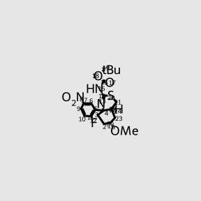 CO[C@@H]1CCC2(c3cc([N+](=O)[O-])ccc3F)N=C(NC(=O)OC(C)(C)C)SC[C@@H]2C1